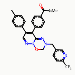 CNC(=O)c1ccc(C2=C(c3ccc(C)cc3)C=NN3OCN(Cc4ccc(C(F)(F)F)nc4)N=C23)cc1